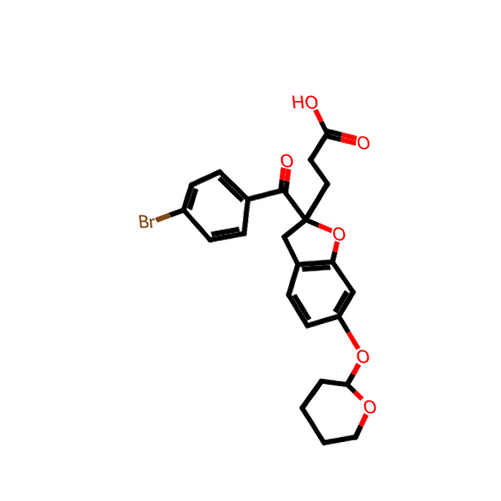 O=C(O)CCC1(C(=O)c2ccc(Br)cc2)Cc2ccc(OC3CCCCO3)cc2O1